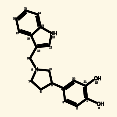 Oc1ccc(C2CCN(Cc3c[nH]c4ccccc34)C2)cc1O